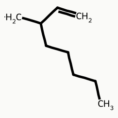 [CH2]C(C=C)CCCCC